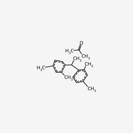 CC(C)=O.Cc1ccc(C(C)c2ccc(C)cc2C)c(C)c1